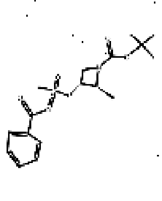 C[C@H]1[C@H](C[S@@](C)(=O)=NC(=O)c2ccccc2)CN1C(=O)OC(C)(C)C